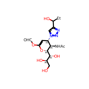 CCC(O)c1cn([C@H]2C=C(OC=O)O[C@@H]([C@H](O)[C@H](O)CO)[C@@H]2NC(C)=O)nn1